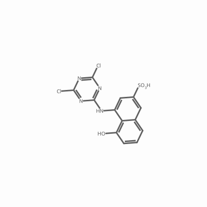 O=S(=O)(O)c1cc(Nc2nc(Cl)nc(Cl)n2)c2c(O)cccc2c1